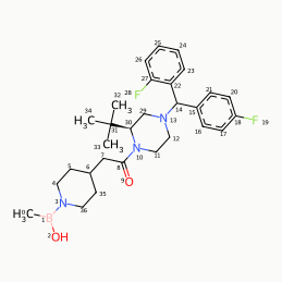 CB(O)N1CCC(CC(=O)N2CCN(C(c3ccc(F)cc3)c3ccccc3F)C[C@@H]2C(C)(C)C)CC1